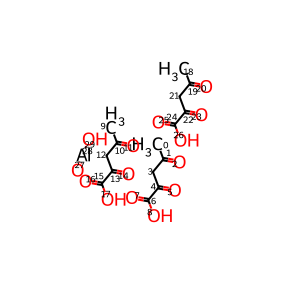 CC(=O)CC(=O)C(=O)O.CC(=O)CC(=O)C(=O)O.CC(=O)CC(=O)C(=O)O.[O]=[Al][OH]